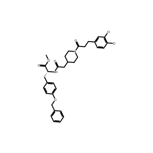 COC(=O)[C@@H](Cc1ccc(OCc2ccccc2)cc1)NC(=O)CC1CCN(C(=O)CCc2ccc(Cl)c(Cl)c2)CC1